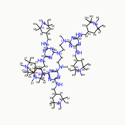 CN(CCN(CCN(C)c1nc(NCC2CC(C)(C)N(C)C(C)(C)C2)nc(NCC2CC(C)(C)N(C)C(C)(C)C2)n1)c1nc(NCC2CC(C)(C)N(C)C(C)(C)C2)nc(NCC2CC(C)(C)N(C)C(C)(C)C2)n1)c1nc(NCC2CC(C)(C)N(C)C(C)(C)C2)nc(NCC2CC(C)(C)N(C)C(C)(C)C2)n1